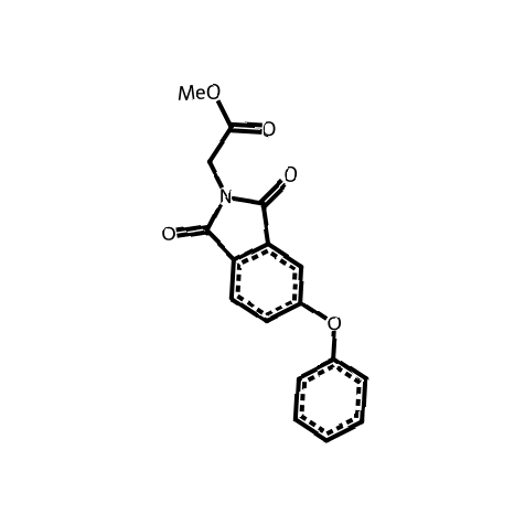 COC(=O)CN1C(=O)c2ccc(Oc3ccccc3)cc2C1=O